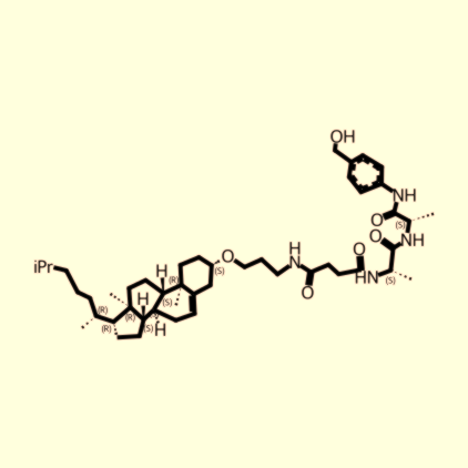 CC(C)CCC[C@@H](C)[C@H]1CC[C@H]2[C@@H]3CC=C4C[C@@H](OCCCNC(=O)CCC(=O)N[C@@H](C)C(=O)N[C@@H](C)C(=O)Nc5ccc(CO)cc5)CC[C@]4(C)[C@H]3CC[C@]12C